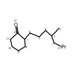 CC(C)CC(C)CCCC1CCCCC1=O